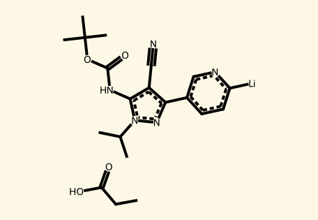 CCC(=O)O.[Li][c]1ccc(-c2nn(C(C)C)c(NC(=O)OC(C)(C)C)c2C#N)cn1